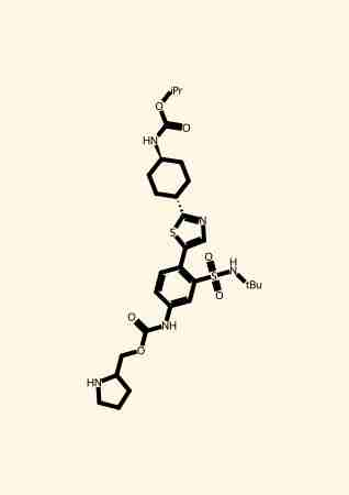 CC(C)OC(=O)N[C@H]1CC[C@H](c2ncc(-c3ccc(NC(=O)OCC4CCCN4)cc3S(=O)(=O)NC(C)(C)C)s2)CC1